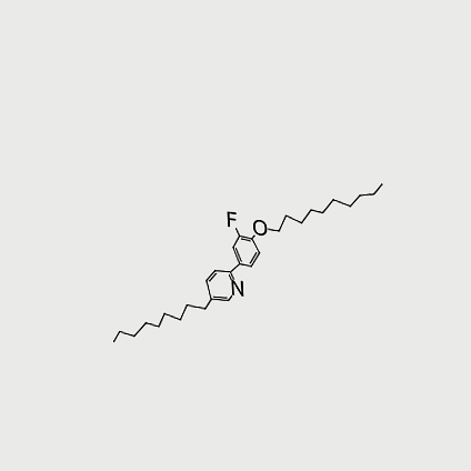 CCCCCCCCCCOc1ccc(-c2ccc(CCCCCCCCC)cn2)cc1F